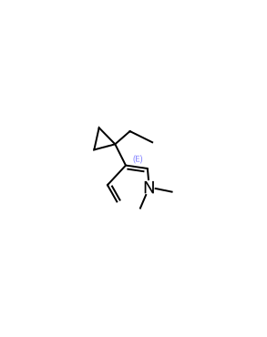 C=C/C(=C\N(C)C)C1(CC)CC1